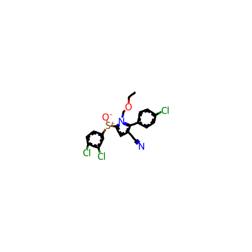 CCOCn1c([S+]([O-])c2ccc(Cl)c(Cl)c2)cc(C#N)c1-c1ccc(Cl)cc1